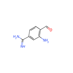 N=C(N)c1ccc(C=O)c(N)c1